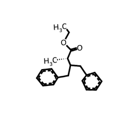 CCOC(=O)[C@@H](C)C(Cc1ccccc1)Cc1ccccc1